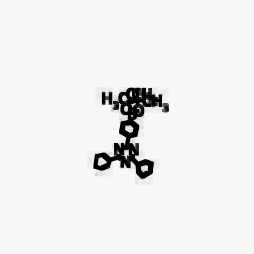 CC1(C)OB(c2ccc(-c3nc(C4=CCCC=C4)nc(-c4ccccc4)n3)cc2)OC1(C)C